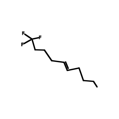 CCCC/C=C/CCCC(F)(F)F